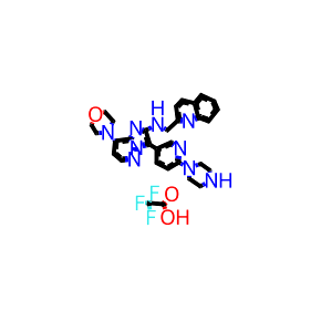 O=C(O)C(F)(F)F.c1ccc2nc(CNc3nc4c(N5CCOCC5)ccnn4c3-c3ccc(N4CCNCC4)nc3)ccc2c1